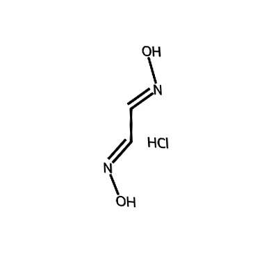 Cl.ON=CC=NO